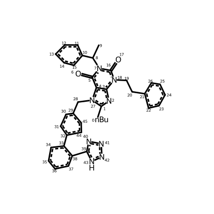 CCCCc1nc2c(c(=O)n(C(C)c3ccccc3)c(=O)n2CCc2ccccc2)n1Cc1ccc(-c2ccccc2-c2nnn[nH]2)cc1